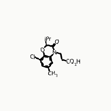 Cc1cc(Cl)c2c(c1)N(CCC(=O)O)C(=O)[C@H](C(C)C)O2